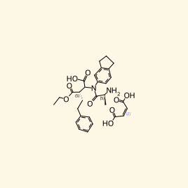 CCOC(=O)[C@@H](CCc1ccccc1)C(C(=O)O)N(C(=O)[C@H](C)N)c1ccc2c(c1)CCC2.O=C(O)/C=C\C(=O)O